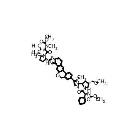 COC[C@H]1CC(c2ncc(-c3ccc4c(c3)COc3cc5c(ccc6nc([C@@H]7CC[C@H](C)N7C(=O)[C@H](C(C)C)N(C)C(=O)OC)[nH]c65)cc3-4)n2C)N(C(=O)C(NC(=O)OC)c2ccccc2)C1